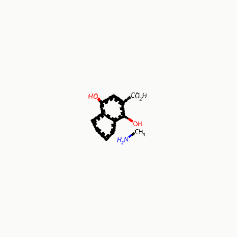 CN.O=C(O)c1cc(O)c2ccccc2c1O